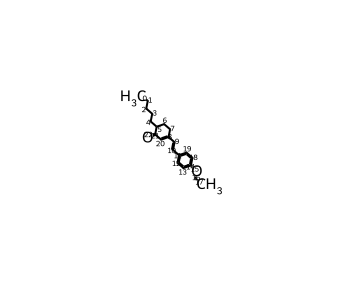 CCCCCC1CCC(C=Cc2ccc(OCC)cc2)=CC1=O